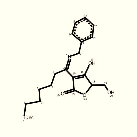 CCCCCCCCCCCCCCCC(=NCc1ccccc1)C1=C(O)C(CO)OC1=O